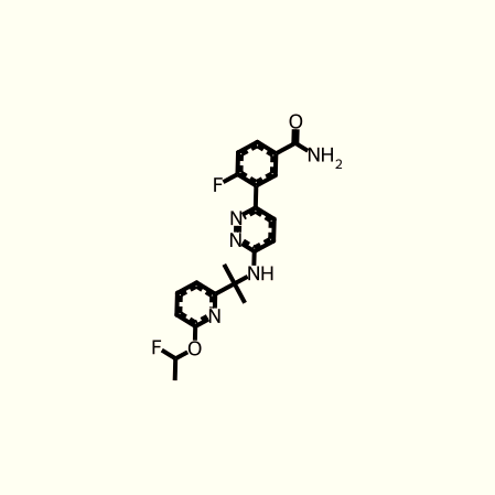 CC(F)Oc1cccc(C(C)(C)Nc2ccc(-c3cc(C(N)=O)ccc3F)nn2)n1